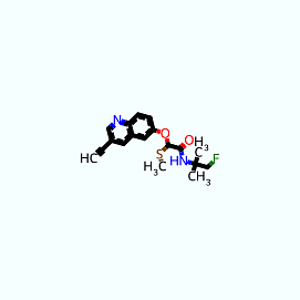 C#Cc1cnc2ccc(OC(SC)C(=O)NC(C)(C)CF)cc2c1